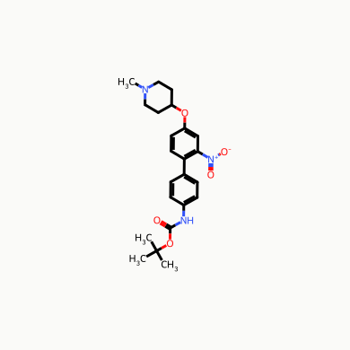 CN1CCC(Oc2ccc(-c3ccc(NC(=O)OC(C)(C)C)cc3)c([N+](=O)[O-])c2)CC1